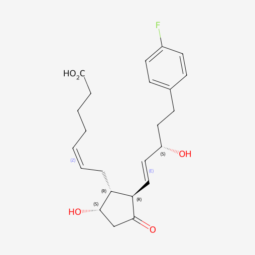 O=C(O)CCC/C=C\C[C@H]1[C@@H](O)CC(=O)[C@@H]1/C=C/[C@@H](O)CCc1ccc(F)cc1